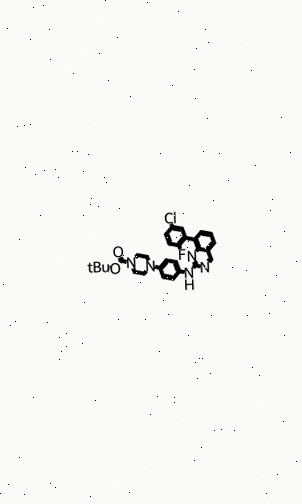 CC(C)(C)OC(=O)N1CCN(c2ccc(Nc3ncc4cccc(-c5cc(Cl)ccc5F)c4n3)cc2)CC1